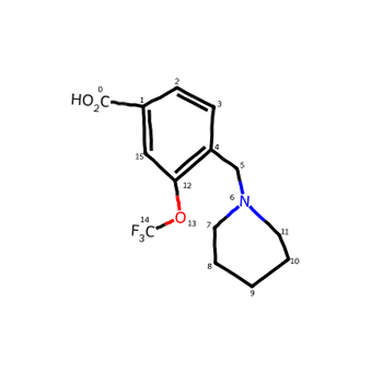 O=C(O)c1ccc(CN2CCCCC2)c(OC(F)(F)F)c1